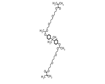 C=C(C)C(=O)OCCCOCCCOCCOC(C)Oc1ccc(C(C)(C)c2ccc(OC(C)OCCOCCCOCCCOC(=O)C(=C)C)cc2)cc1